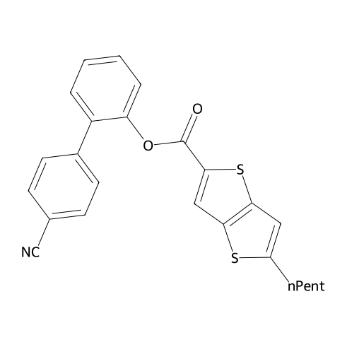 CCCCCc1cc2sc(C(=O)Oc3ccccc3-c3ccc(C#N)cc3)cc2s1